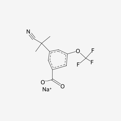 CC(C)(C#N)c1cc(OC(F)(F)F)cc(C(=O)[O-])c1.[Na+]